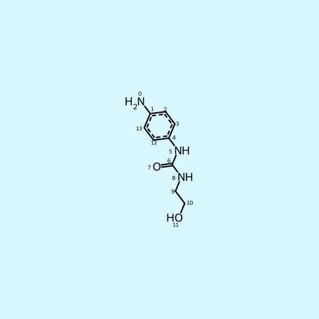 Nc1ccc(NC(=O)NCCO)cc1